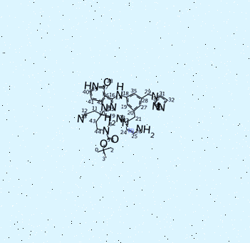 CC(C)(C)OC(=O)N1CCC(CC#N)(n2nc(Nc3cc(CN(N)/C=C\N)cc(Cn4ccnn4)c3)c3c(=O)[nH]ccc32)CC1